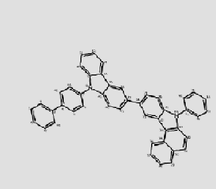 c1ccc(-c2ccc(-n3c4ccccc4c4cc(-c5ccc6c(c5)c5c7ccccc7ccc5n6-c5ccccc5)ccc43)cc2)cc1